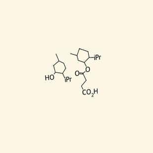 CC1CCC(C(C)C)C(O)C1.CC1CCC(C(C)C)C(OC(=O)CCC(=O)O)C1